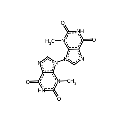 Cn1c(=O)[nH]c(=O)c2ncn(-n3cnc4c(=O)[nH]c(=O)n(C)c43)c21